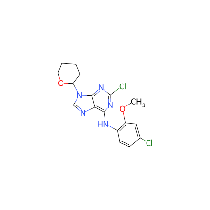 COc1cc(Cl)ccc1Nc1nc(Cl)nc2c1ncn2C1CCCCO1